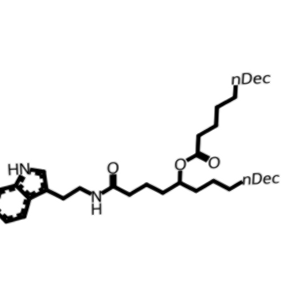 CCCCCCCCCCCCCCC(=O)OC(CCCCCCCCCCCCC)CCCC(=O)NCCc1c[nH]c2ccccc12